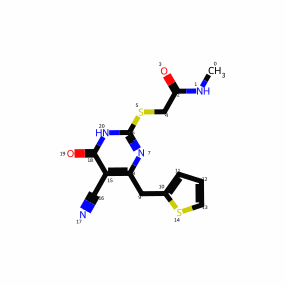 CNC(=O)CSc1nc(Cc2cccs2)c(C#N)c(=O)[nH]1